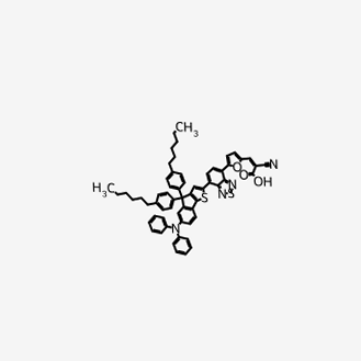 CCCCCCc1ccc(C2(c3ccc(CCCCCC)cc3)c3cc(N(c4ccccc4)c4ccccc4)ccc3-c3sc(-c4ccc(-c5ccc(C=C(C#N)C(=O)O)o5)c5nsnc45)cc32)cc1